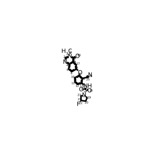 Cn1cnc2ccc(Oc3cccc(NS(=O)(=O)N4CC[C@@H](F)C4)c3C#N)cc2c1=O